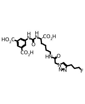 O=C(Cn1cc(CCCF)nn1)NCCCC[C@H](NC(=O)Nc1cc(C(=O)O)cc(C(=O)O)c1)C(=O)O